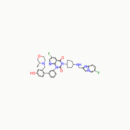 C[C@H]1COCCN1Cc1cc(O)ccc1-c1cccc(-n2c(=O)n(C3CCC(NCc4cn5cc(F)ccc5n4)CC3)c(=O)c3cc(F)cnc32)c1